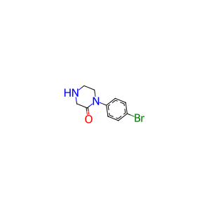 O=C1CNCCN1c1ccc(Br)cc1